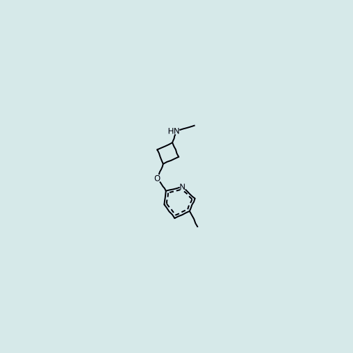 CNC1CC(Oc2ccc(C)cn2)C1